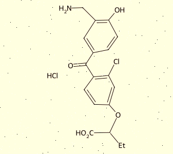 CCC(Oc1ccc(C(=O)c2ccc(O)c(CN)c2)c(Cl)c1)C(=O)O.Cl